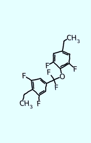 CCc1cc(F)c(OC(F)(F)c2cc(F)c(CC)c(F)c2)c(F)c1